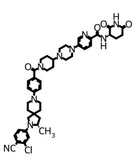 C[C@H]1CC2(CCN(c3ccc(C(=O)N4CCC(N5CCN(c6ccc(C(=O)N[C@@H]7CCC(=O)NC7=O)nc6)CC5)CC4)cc3)CC2)CN1c1ccc(C#N)c(Cl)c1